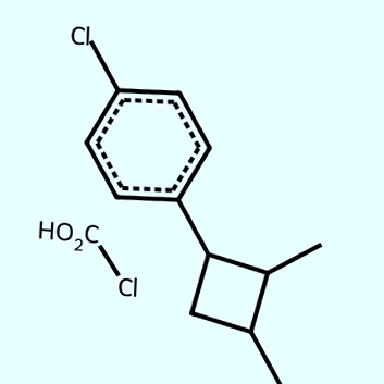 CC1CC(c2ccc(Cl)cc2)C1C.O=C(O)Cl